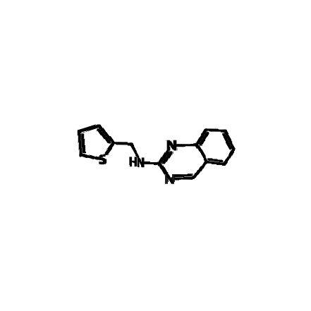 c1csc(CNc2ncc3ccccc3n2)c1